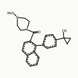 CSN1CCN(C(=O)c2ccc3ccccc3c2-c2ccc(C3(C#N)CC3)cc2)CC1